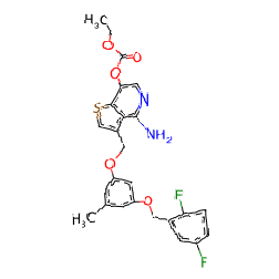 CCOC(=O)Oc1cnc(N)c2c(COc3cc(C)cc(OCc4cc(F)ccc4F)c3)csc12